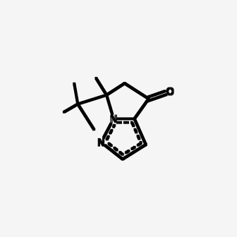 CC(C)(C)C1(C)CC(=O)c2ccnn21